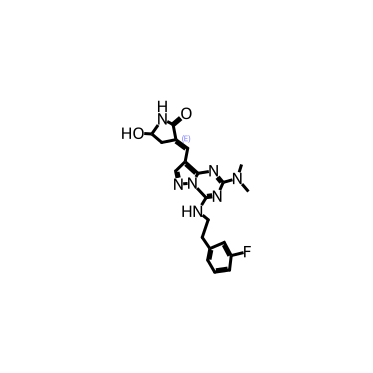 CN(C)c1nc(NCCc2cccc(F)c2)n2ncc(/C=C3\CC(O)NC3=O)c2n1